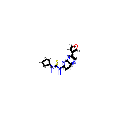 S=C(Nc1ccc2ncc(-c3ccoc3)nc2n1)NC1CCCC1